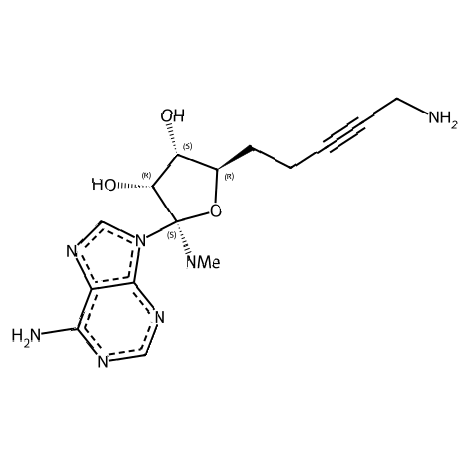 CN[C@@]1(n2cnc3c(N)ncnc32)O[C@H](CCC#CCN)[C@@H](O)[C@H]1O